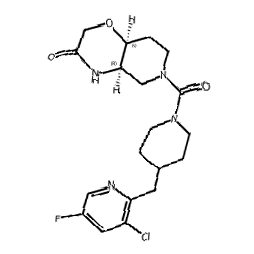 O=C1CO[C@H]2CCN(C(=O)N3CCC(Cc4ncc(F)cc4Cl)CC3)C[C@H]2N1